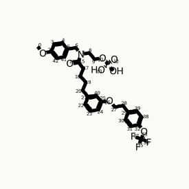 COc1ccc(CN(CCOP(=O)(O)O)C(=O)CCCCc2cccc(OCCc3ccc(OC(F)(F)F)cc3)c2)cc1